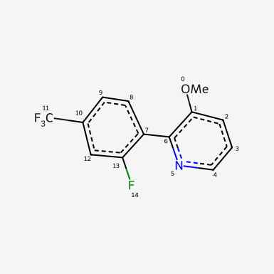 COc1cccnc1-c1ccc(C(F)(F)F)cc1F